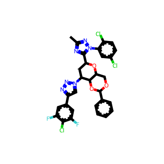 Cc1nc(C2[CH]C(n3cc(-c4cc(F)c(Cl)c(F)c4)nn3)C3OC(c4ccccc4)OCC3O2)n(-c2cc(Cl)ccc2Cl)n1